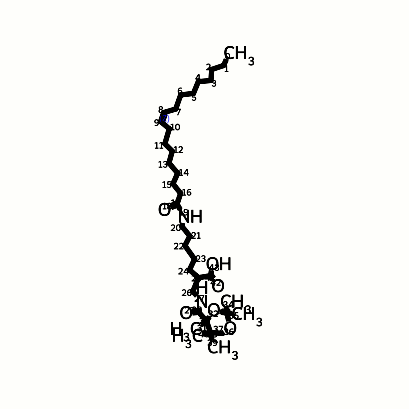 CCCCCCCC/C=C\CCCCCCCC(=O)NCCCCCC(CNC(=O)C1(C)OC(C)(C)OCC1(C)C)C(=O)O